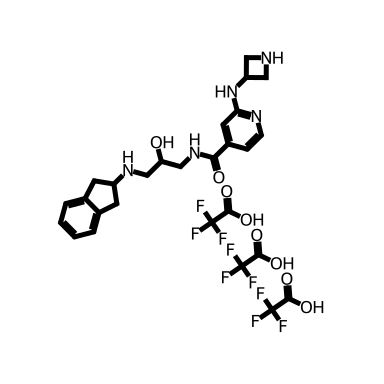 O=C(NCC(O)CNC1Cc2ccccc2C1)c1ccnc(NC2CNC2)c1.O=C(O)C(F)(F)F.O=C(O)C(F)(F)F.O=C(O)C(F)(F)F